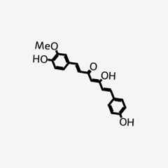 COc1cc(/C=C/C(=O)/C=C(O)/C=C/c2ccc(O)cc2)ccc1O